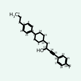 CCCc1ccc(C2CCC(CC(O)C#Cc3ccc(F)cc3)CC2)cc1